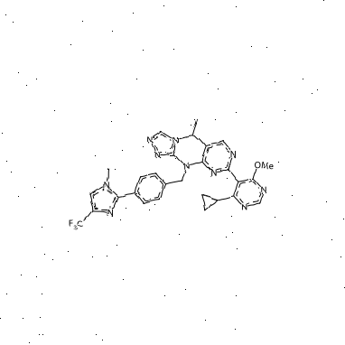 COc1ncnc(C2CC2)c1-c1ncc2c(n1)N(Cc1ccc(-c3nc(C(F)(F)F)cn3C)cc1)c1nncn1C2C